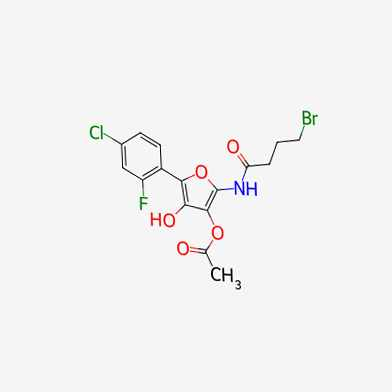 CC(=O)Oc1c(NC(=O)CCCBr)oc(-c2ccc(Cl)cc2F)c1O